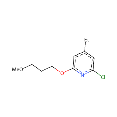 CCc1cc(Cl)nc(OCCCOC)c1